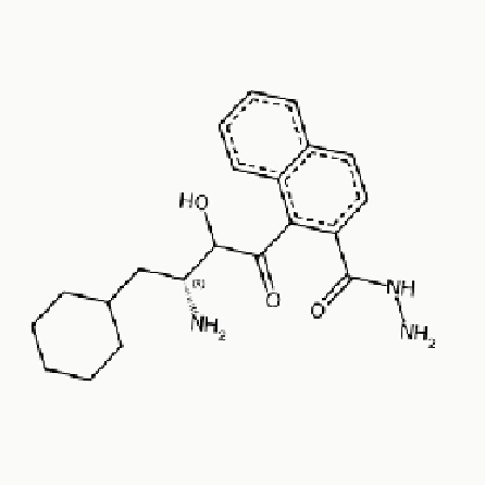 NNC(=O)c1ccc2ccccc2c1C(=O)C(O)[C@H](N)CC1CCCCC1